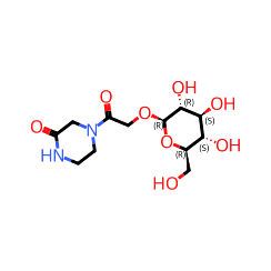 O=C1CN(C(=O)CO[C@@H]2O[C@H](CO)[C@@H](O)[C@H](O)[C@H]2O)CCN1